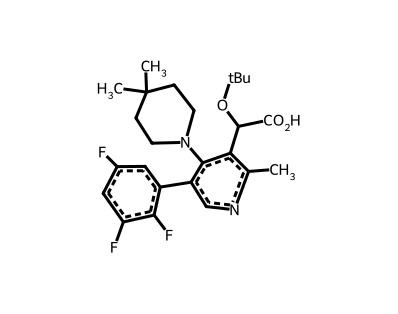 Cc1ncc(-c2cc(F)cc(F)c2F)c(N2CCC(C)(C)CC2)c1C(OC(C)(C)C)C(=O)O